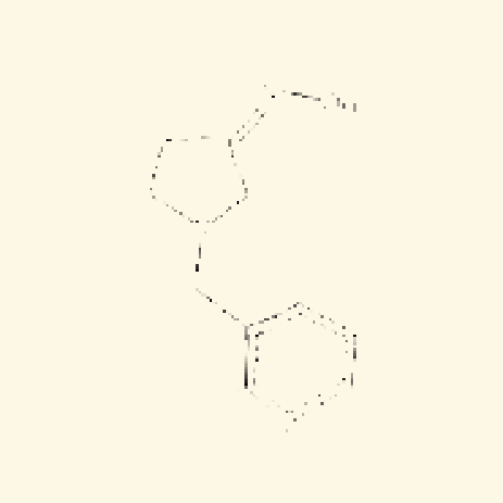 ON=C1CCN(Cc2ccccc2)C1